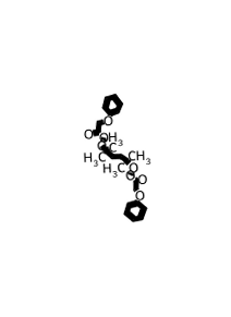 CC(C)(CCC(C)(C)OOC(=O)COc1ccccc1)OOC(=O)COc1ccccc1